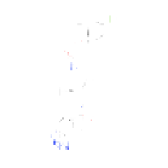 O=C(COc1ccc(F)cc1Cl)N1CC=C2CN(C(=O)c3ccc4[nH]nnc4c3)C[C@H]2CC1